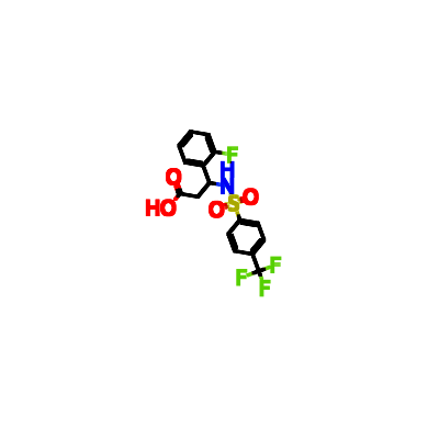 O=C(O)CC(NS(=O)(=O)c1ccc(C(F)(F)F)cc1)c1ccccc1F